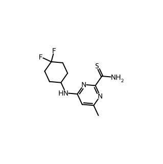 Cc1cc(NC2CCC(F)(F)CC2)nc(C(N)=S)n1